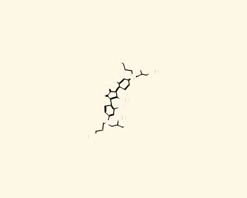 O=C1C(=O)/C(=C2/C=CC(=[N+](CC(O)CO)CC(O)CO)C=C2O)C(O)=C1c1ccc(N(CC(O)CO)CC(O)CO)cc1O